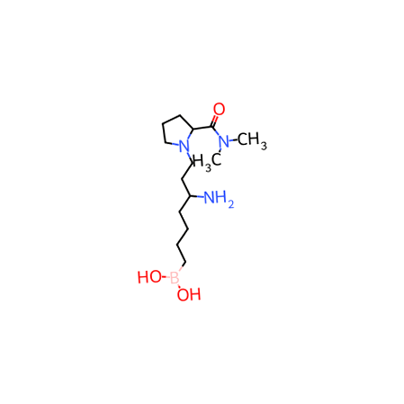 CN(C)C(=O)C1CCCN1CCC(N)CCCCB(O)O